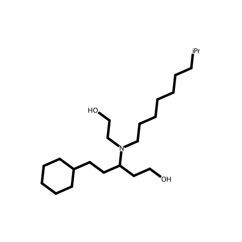 CC(C)CCCCCCCN(CCO)C(CCO)CCC1CCCCC1